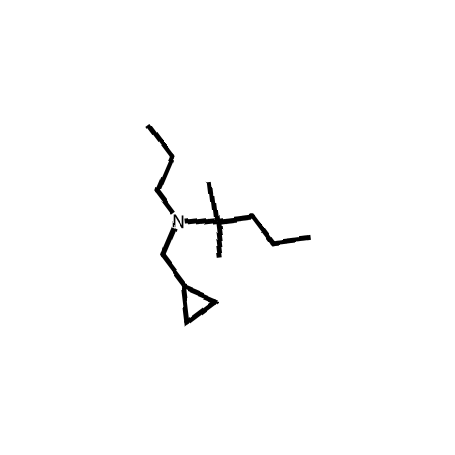 CCCN(CC1CC1)C(C)(C)CCC